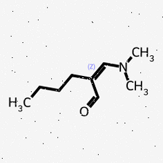 CCCC/C(C=O)=C/N(C)C